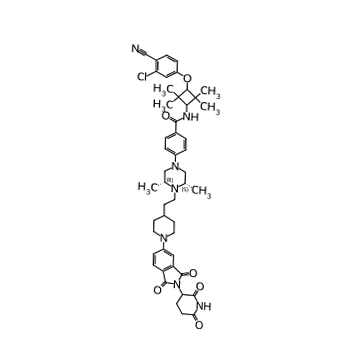 C[C@@H]1CN(c2ccc(C(=O)NC3C(C)(C)C(Oc4ccc(C#N)c(Cl)c4)C3(C)C)cc2)C[C@H](C)N1CCC1CCN(c2ccc3c(c2)C(=O)N(C2CCC(=O)NC2=O)C3=O)CC1